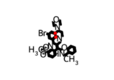 C[C@H](NC(=O)c1c(CN2CCC(N3CCOCC3)CC2)c(-c2cccc(Br)c2)nc2c(S(C)(=O)=O)cccc12)c1ccccc1